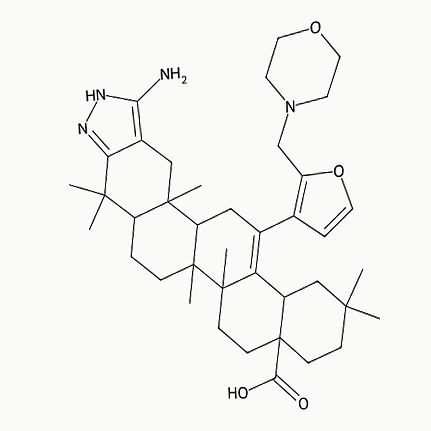 CC1(C)CCC2(C(=O)O)CCC3(C)C(=C(c4ccoc4CN4CCOCC4)CC4C5(C)Cc6c(n[nH]c6N)C(C)(C)C5CCC43C)C2C1